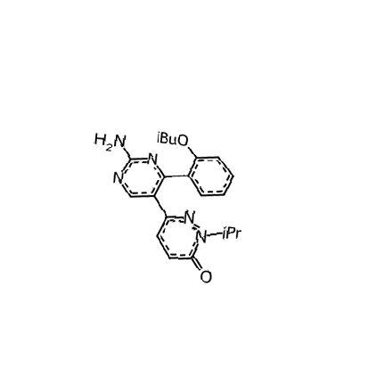 CC(C)COc1ccccc1-c1nc(N)ncc1-c1ccc(=O)n(C(C)C)n1